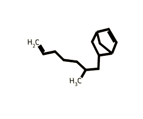 C=CCCCC(C)CC1CC2C=CC1C2